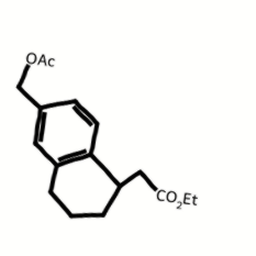 CCOC(=O)CC1CCCc2cc(COC(C)=O)ccc21